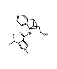 Cn1cc(C(=O)NC23CCC(c4ccccc42)C3CCO)c(C(F)F)n1